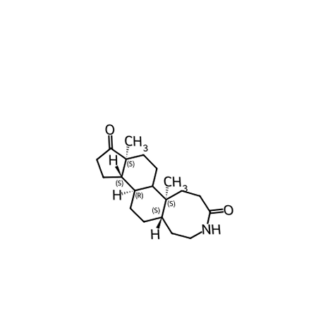 C[C@]12CCC3[C@@H](CC[C@H]4CCNC(=O)CC[C@]34C)[C@@H]1CCC2=O